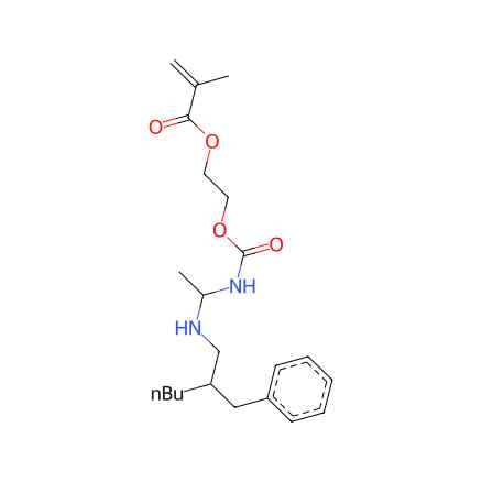 C=C(C)C(=O)OCCOC(=O)NC(C)NCC(CCCC)Cc1ccccc1